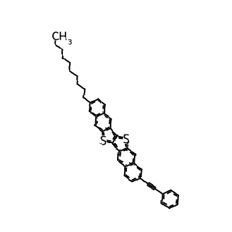 CCCCCCCCCCc1ccc2cc3c(cc2c1)sc1c2cc4ccc(C#Cc5ccccc5)cc4cc2sc31